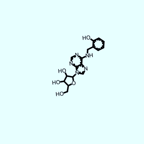 OCC1OC(n2cnc3c(NCc4ccccc4O)ncnc32)C(O)C1O